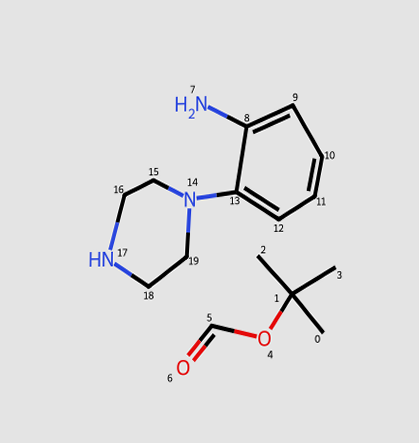 CC(C)(C)OC=O.Nc1ccccc1N1CCNCC1